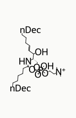 CCCCCCCCCCCCC/C=C/[C@@H](O)[C@H](COP(=O)(O)OCC[N+](C)(C)C)NC(=O)CCCCCCCCCCCCCCC